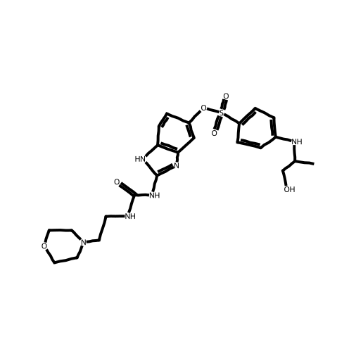 CC(CO)Nc1ccc(S(=O)(=O)Oc2ccc3[nH]c(NC(=O)NCCN4CCOCC4)nc3c2)cc1